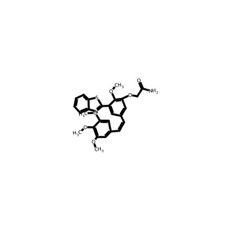 COc1cc(/C=C\c2cc(OCC(N)=O)c(OC)c(-c3nc4ccccc4s3)c2)cc(OC)c1OC